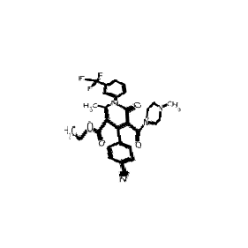 CCOC(=O)C1=C(C)N(c2cccc(C(F)(F)F)c2)C(=O)C(C(=O)N2CCN(C)CC2)C1c1ccc(C#N)cc1